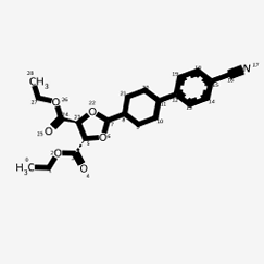 CCOC(=O)[C@H]1OC(C2CCC(c3ccc(C#N)cc3)CC2)O[C@@H]1C(=O)OCC